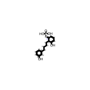 O=P(O)(O)/N=C1\C=CC=C(O)C1CCCCc1cccc(O)c1